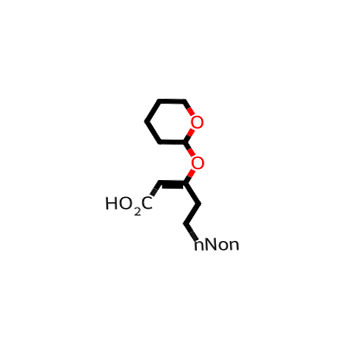 CCCCCCCCCCCC(=CC(=O)O)OC1CCCCO1